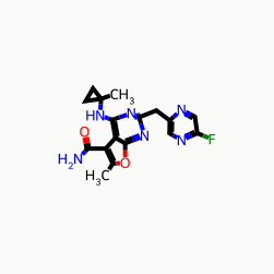 Cc1oc2nc(Cc3cnc(F)cn3)nc(NC3(C)CC3)c2c1C(N)=O